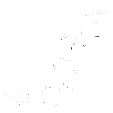 CC[C@H](C)[C@@H]([C@@H](CC(=O)N1CCC[C@H]1[C@H](OC)[C@@H](C)C(=O)N[C@@H](Cc1c[nH]c2ccccc12)C(=O)OC)OC)N(C)C(=O)[C@@H](NC(=O)C(C)(C)NC)C(C)C